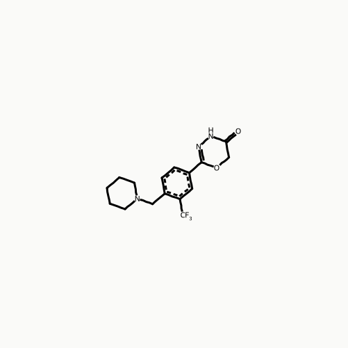 O=C1COC(c2ccc(CN3CCCCC3)c(C(F)(F)F)c2)=NN1